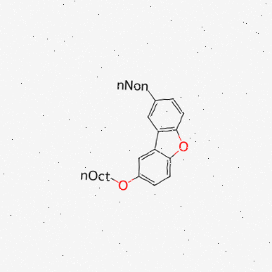 CCCCCCCCCc1ccc2oc3ccc(OCCCCCCCC)cc3c2c1